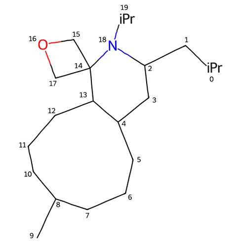 CC(C)CC1CC2CCCC(C)CCCC2C2(COC2)N1C(C)C